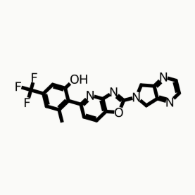 Cc1cc(C(F)(F)F)cc(O)c1-c1ccc2oc(N3Cc4nccnc4C3)nc2n1